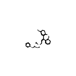 O=C(O)Cc1ccc2c(c1)/C(=C/CN1CCC(Cc3ccccc3)CC1)c1ccccc1CO2